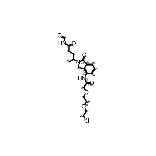 CC(CCC(=O)NC=O)N1Cc2c(NC(=O)COCCOCCCl)cccc2C1=O